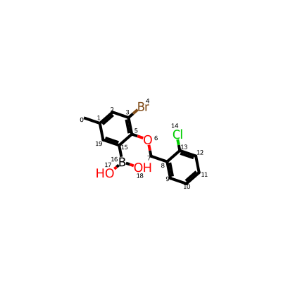 Cc1cc(Br)c(OCc2ccccc2Cl)c(B(O)O)c1